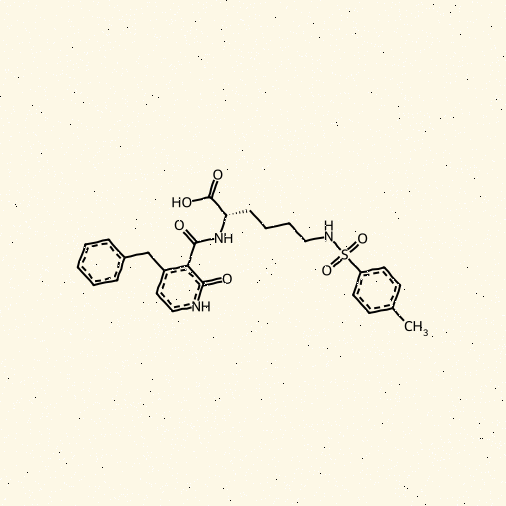 Cc1ccc(S(=O)(=O)NCCCC[C@H](NC(=O)c2c(Cc3ccccc3)cc[nH]c2=O)C(=O)O)cc1